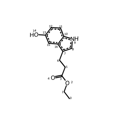 CCOC(=O)CCc1c[nH]c2ccc(O)cc12